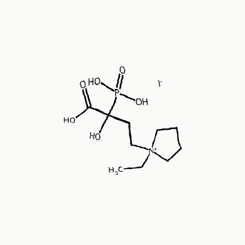 CC[N+]1(CCC(O)(C(=O)O)P(=O)(O)O)CCCC1.[I-]